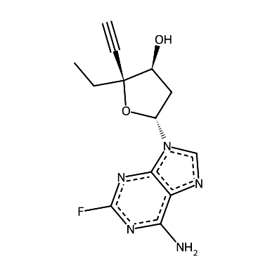 C#C[C@]1(CC)O[C@@H](n2cnc3c(N)nc(F)nc32)C[C@@H]1O